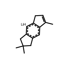 CC1=CCc2cc3c(cc21)[CH]C(C)(C)C3.[LiH]